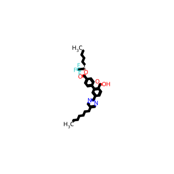 CCCCCCCc1cnc(-c2ccc(C(=O)O)c(-c3ccc(C(=O)O[C@@H](CCCCCC)C(F)(F)F)cc3)c2)nc1